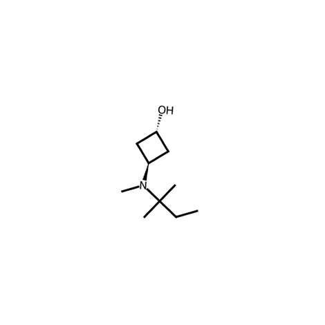 CCC(C)(C)N(C)[C@H]1C[C@H](O)C1